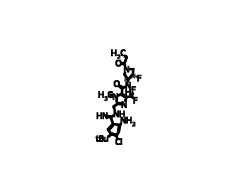 C=CC(=O)N1C[C@H](NC(=O)c2c(C(F)F)nc(CNC(=N)c3cc(C(C)(C)C)c(Cl)cc3N)n2C)[C@@H](F)C1